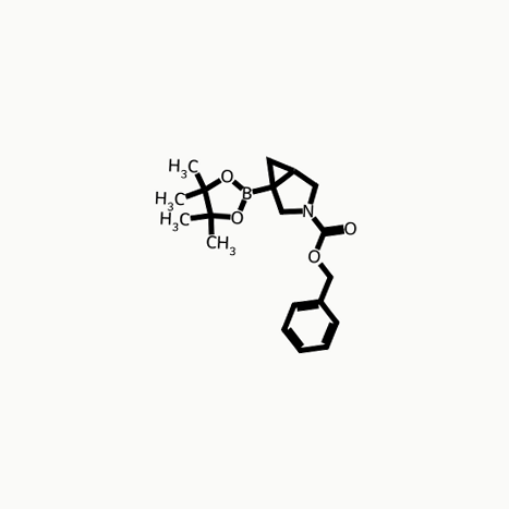 CC1(C)OB(C23CC2CN(C(=O)OCc2ccccc2)C3)OC1(C)C